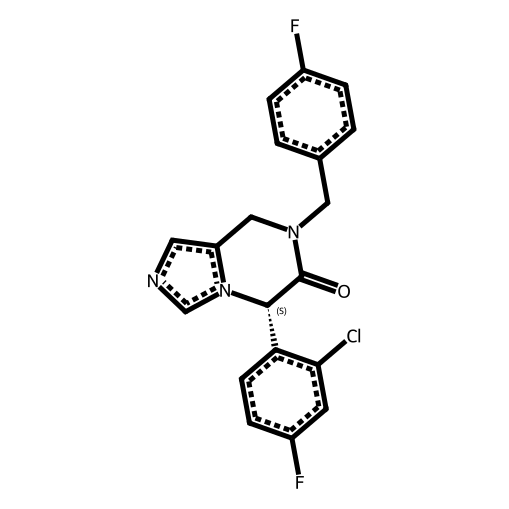 O=C1[C@H](c2ccc(F)cc2Cl)n2cncc2CN1Cc1ccc(F)cc1